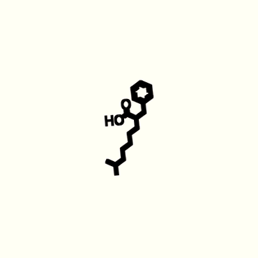 CC(C)CCCCCC(Cc1ccccc1)C(=O)O